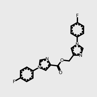 O=C(OCc1cn(-c2ccc(F)cc2)cn1)c1cn(-c2ccc(F)cc2)cn1